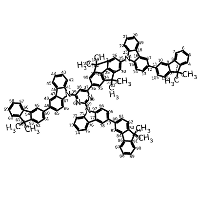 CC1(C)c2ccccc2-c2cc(-c3ccc4c(c3)c3ccccc3n4-c3cc4c5c(c3)C(C)(C)c3cc(-c6cc(-n7c8ccccc8c8cc(-c9ccc%10c(c9)-c9ccccc9C%10(C)C)ccc87)nc(-n7c8ccccc8c8cc(-c9ccc%10c(c9)-c9ccccc9C%10(C)C)ccc87)n6)cc(c3-5)C4(C)C)ccc21